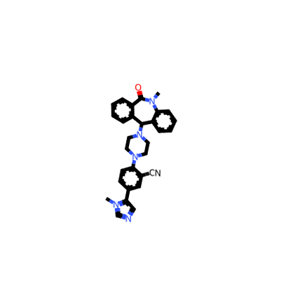 CN1C(=O)c2ccccc2C(N2CCN(c3ccc(-c4cncn4C)cc3C#N)CC2)c2ccccc21